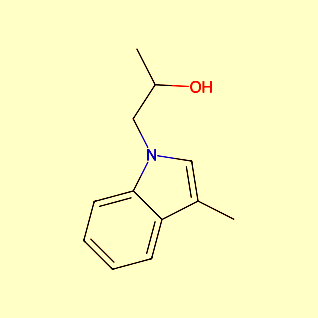 Cc1cn(CC(C)O)c2ccccc12